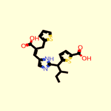 CCC(C)C(c1ncc(/C=C(\Cc2cccs2)C(=O)O)[nH]1)c1ccc(C(=O)O)s1